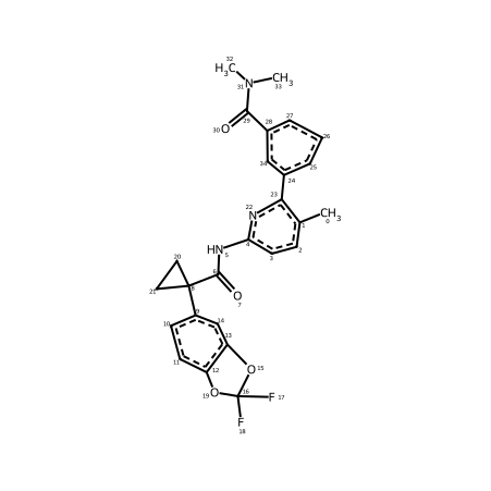 Cc1ccc(NC(=O)C2(c3ccc4c(c3)OC(F)(F)O4)CC2)nc1-c1cccc(C(=O)N(C)C)c1